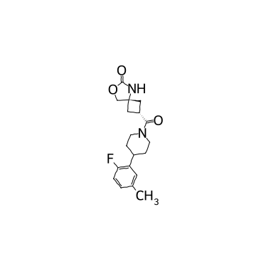 Cc1ccc(F)c(C2CCN(C(=O)[C@H]3C[C@]4(COC(=O)N4)C3)CC2)c1